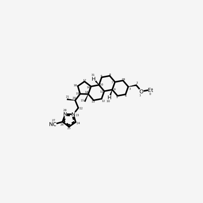 CCOC[C@H]1CC[C@H]2C(CC[C@@H]3C2CC[C@@]2(C)C3CCC2[C@H](C)Cn2ccc(C#N)n2)C1